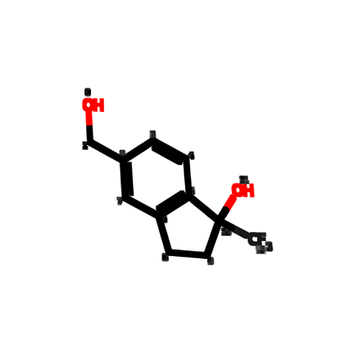 OCc1ccc2c(c1)CCC2(O)C(F)(F)F